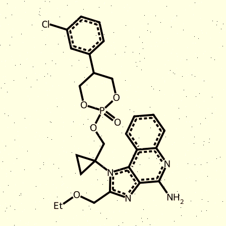 CCOCc1nc2c(N)nc3ccccc3c2n1C1(COP2(=O)OCC(c3cccc(Cl)c3)CO2)CC1